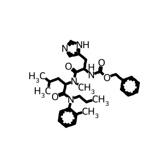 CCCN(C(=O)C(CC(C)C)N(C)C(=O)C(Cc1cnc[nH]1)NC(=O)OCc1ccccc1)c1ccccc1C